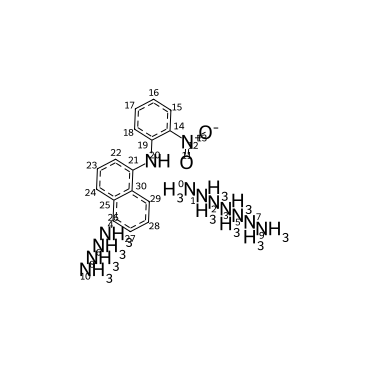 N.N.N.N.N.N.N.N.N.N.N.O=[N+]([O-])c1ccccc1Nc1cccc2ccccc12